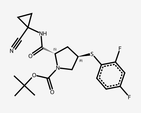 CC(C)(C)OC(=O)N1C[C@H](Sc2ccc(F)cc2F)C[C@H]1C(=O)NC1(C#N)CC1